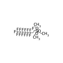 CCO[Si](OCC)(OCC)C(F)CC(F)(F)C(F)(F)C(F)(F)C(F)(F)C(F)(F)C(F)(F)F